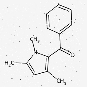 [CH2]c1cc(C)c(C(=O)c2ccccc2)n1C